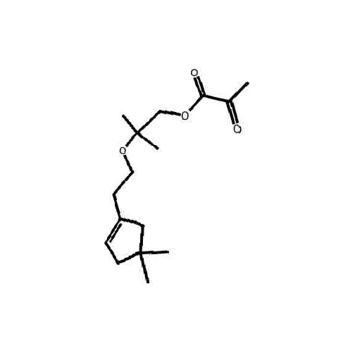 CC(=O)C(=O)OCC(C)(C)OCCC1=CCC(C)(C)C1